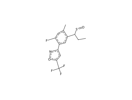 CCC([S+]=O)c1cc(-c2cc(C(F)(F)F)on2)c(F)cc1C